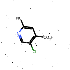 N#Cc1cc(C(=O)O)c(Cl)cn1